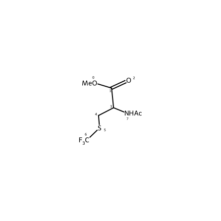 COC(=O)C(CSC(F)(F)F)NC(C)=O